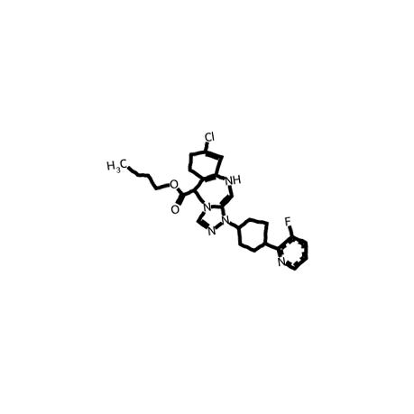 CCCCOC(=O)C1C2=C(C=C(Cl)CC2)NC=C2N1C=NN2C1CCC(c2ncccc2F)CC1